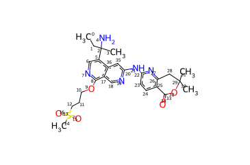 CCC(C)(N)c1cnc(OCCCS(C)(=O)=O)c2cnc(Nc3ccc4c(n3)CC(C)(C)OC4=O)cc12